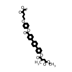 C=C(CC(=O)OC)C(=O)Oc1ccc(-c2ccc(-c3ccc(C(=O)Oc4ccc(OCCCC(=O)C(=O)F)cc4)cc3)cc2)cc1